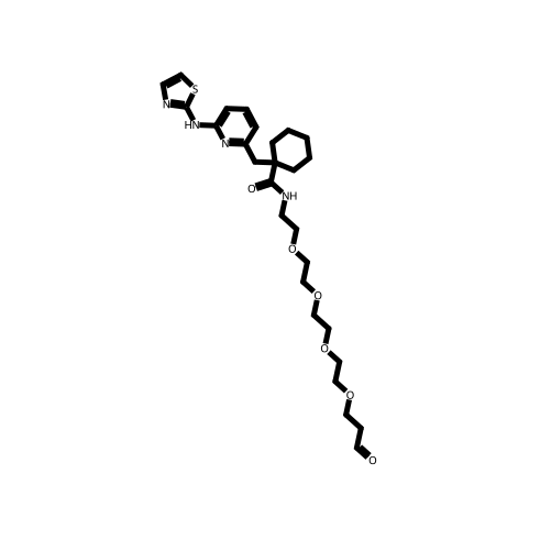 O=CCCOCCOCCOCCOCCNC(=O)C1(Cc2cccc(Nc3nccs3)n2)CCCCC1